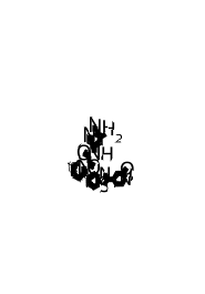 Cc1cc(NC(=O)C(=O)N2C[C@@H](C)CC[C@@H]2c2ccc3sc(C4CCN(C)C(=O)C4)nc3c2)cnc1N